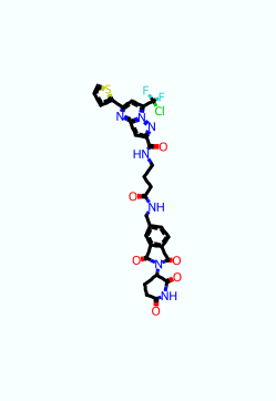 O=C(CCCNC(=O)c1cc2nc(-c3cccs3)cc(C(F)(F)Cl)n2n1)NCc1ccc2c(c1)C(=O)N(C1CCC(=O)NC1=O)C2=O